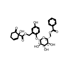 O=C(OC[C@H]1O[C@@H](Oc2ccc(O)cc2COC(=O)C2(O)C=CCCC2=O)[C@H](O)[C@@H](O)[C@@H]1O)c1ccccc1